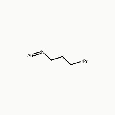 CCCCCC[N]=[Au]